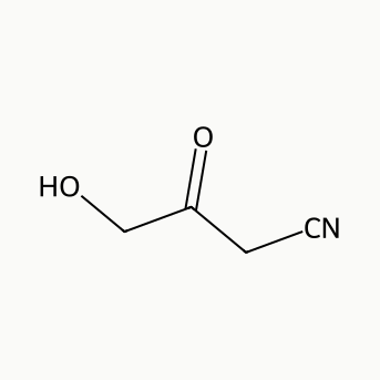 N#CCC(=O)CO